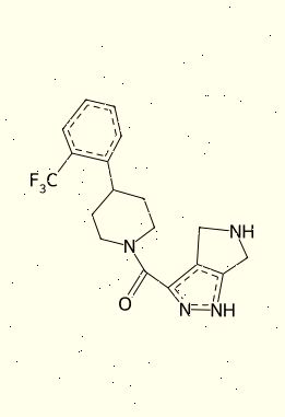 O=C(c1n[nH]c2c1CNC2)N1CCC(c2ccccc2C(F)(F)F)CC1